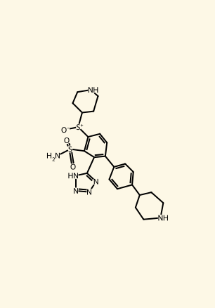 NS(=O)(=O)c1c([S+]([O-])C2CCNCC2)ccc(-c2ccc(C3CCNCC3)cc2)c1-c1nnn[nH]1